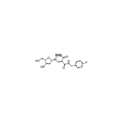 CNC(=O)/C(=C\N(C=O)[C@H]1C=C(N=O)[C@@H](CO)O1)C(=O)NCc1ccc(F)cc1